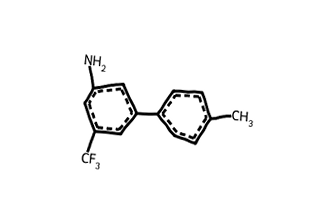 Cc1ccc(-c2cc(N)cc(C(F)(F)F)c2)cc1